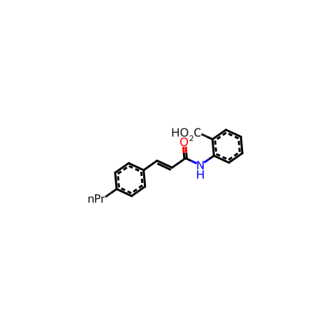 CCCc1ccc(C=CC(=O)Nc2ccccc2C(=O)O)cc1